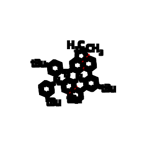 CC1(C)Cc2cc3c(cc2C1)N(c1c(-c2ccccc2)cc(C(C)(C)C)cc1-c1ccccc1)c1cc(C(C)(C)C)cc2c1B3c1ccc(C(C)(C)C)cc1N2c1cccc(C(C)(C)C)c1